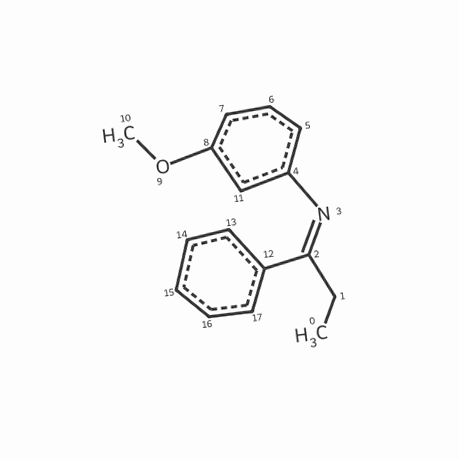 CCC(=Nc1cccc(OC)c1)c1ccccc1